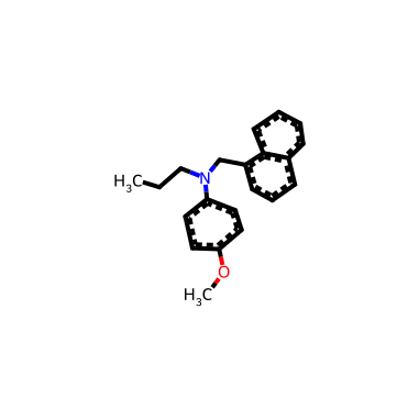 CCCN(Cc1cccc2ccccc12)c1ccc(OC)cc1